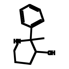 CC1(c2ccccc2)NCCCC1O